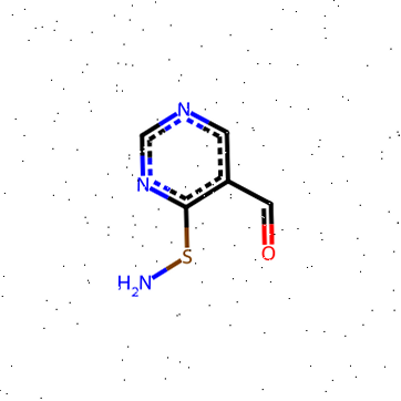 NSc1ncncc1C=O